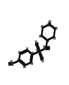 N#Cc1ccc(S(=O)(=O)NC2CCOCC2)cc1